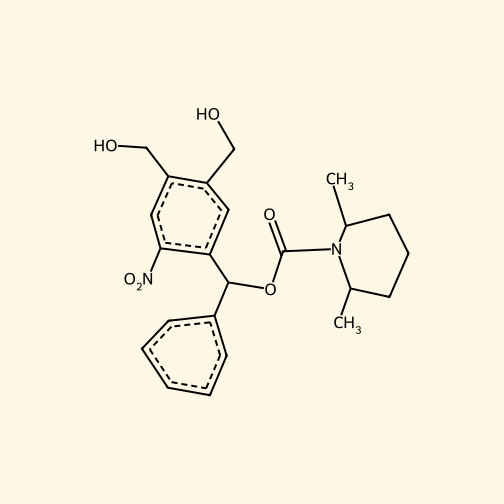 CC1CCCC(C)N1C(=O)OC(c1ccccc1)c1cc(CO)c(CO)cc1[N+](=O)[O-]